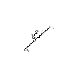 CCCCCCCCCCCCCCCCCCOC(=O)CCCCCC.O=C(O)CCC(=O)O